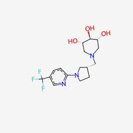 O[C@H]1[C@H](O)CN(C[C@@H]2CCN(c3ccc(C(F)(F)F)cn3)C2)C[C@@H]1O